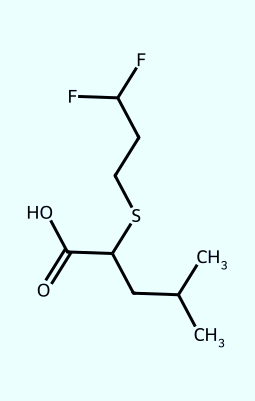 CC(C)CC(SCCC(F)F)C(=O)O